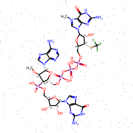 CO[C@@H]1[C@H](P(=O)(O)OC[C@H]2O[C@@H](n3cnc4c(=O)[nH]c(N)nc43)[C@H](O)[C@@H]2O)[C@@H](COP(=O)(O)OP(=O)(O)OP(=O)(O)OC[C@H]2OC(n3c[n+](C)c4c(=O)[nH]c(N)nc43)[C@H](O)[C@@H]2SC(F)(F)F)O[C@H]1n1cnc2c(N)ncnc21